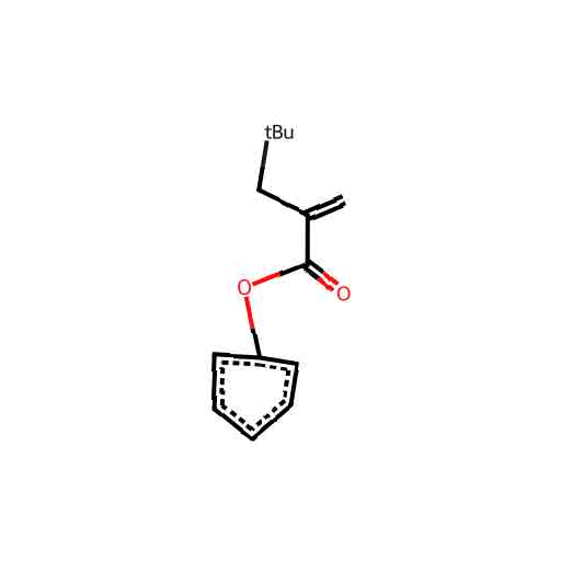 C=C(CC(C)(C)C)C(=O)Oc1ccccc1